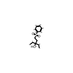 CCC(O)(CC)CCS(=O)(=O)c1ccccc1